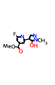 COC(=O)c1cc(F)nc(-c2cnn(C)c2O)c1